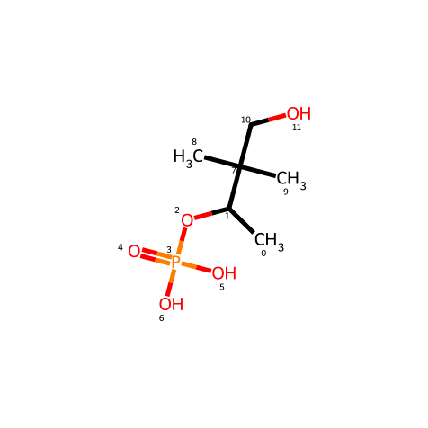 CC(OP(=O)(O)O)C(C)(C)CO